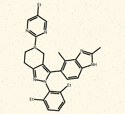 CCc1cnc(N2CCc3nn(-c4c(CC)cccc4CC)c(-c4ccc5[nH]c(C)nc5c4C)c3C2)nc1